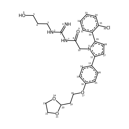 N=C(NCCCO)NC(=O)Cn1c(-c2ccc(OCCC3OCCO3)cc2)ccc1-c1ccccc1Cl